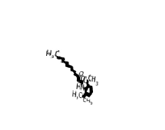 CCCCCCCCCCC(=O)CC(=O)Nc1c(C(C)C)cccc1C(C)C